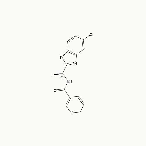 C[C@H](NC(=O)c1ccccc1)c1nc2cc(Cl)ccc2[nH]1